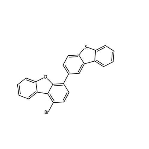 Brc1ccc(-c2ccc3sc4ccccc4c3c2)c2oc3ccccc3c12